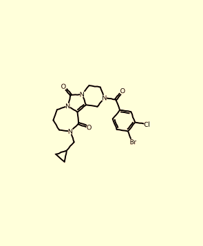 O=C(c1ccc(Br)c(Cl)c1)N1CCn2c(c3n(c2=O)CCCN(CC2CC2)C3=O)C1